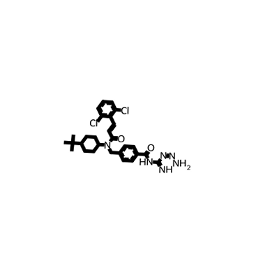 CC(C)(C)C1CCC(N(Cc2ccc(C(=O)NC(=N)/N=N\N)cc2)C(=O)/C=C/c2c(Cl)cccc2Cl)CC1